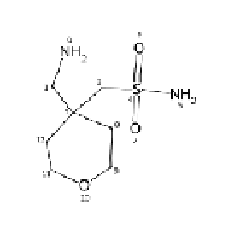 NCC1(CS(N)(=O)=O)CCOCC1